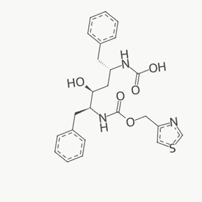 O=C(O)N[C@@H](Cc1ccccc1)C[C@H](O)[C@H](Cc1ccccc1)NC(=O)OCc1cscn1